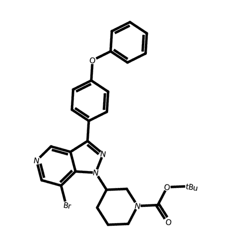 CC(C)(C)OC(=O)N1CCCC(n2nc(-c3ccc(Oc4ccccc4)cc3)c3cncc(Br)c32)C1